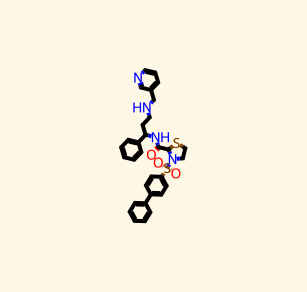 O=C(NC(CCNCc1cccnc1)c1ccccc1)C1SCCN1S(=O)(=O)c1ccc(-c2ccccc2)cc1